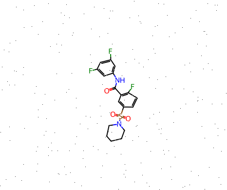 O=C(Nc1cc(F)cc(F)c1)c1cc(S(=O)(=O)N2CCCCC2)ccc1F